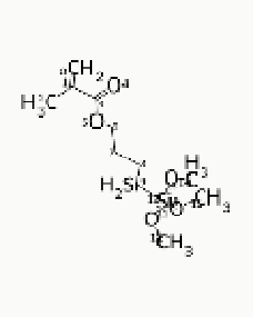 C=C(C)C(=O)OCCC[SiH2][Si](OC)(OC)OC